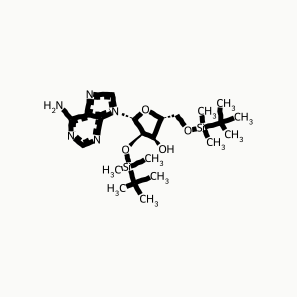 CC(C)(C)[Si](C)(C)OC[C@H]1O[C@@H](n2cnc3c(N)ncnc32)[C@H](O[Si](C)(C)C(C)(C)C)[C@@H]1O